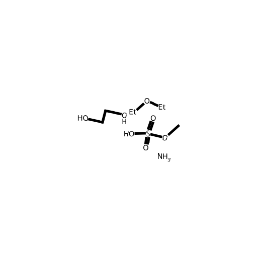 CCOCC.COS(=O)(=O)O.N.OCCO